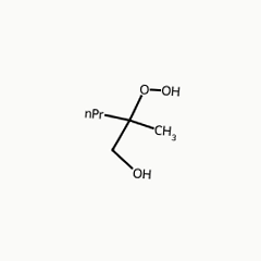 CCCC(C)(CO)OO